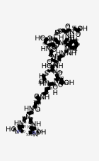 C/C(=N/O)C(C)(C)NCCN(CCNC(=O)CCC(=O)NCCCC[C@H]1N[C@H](O)CSC[C@@H]([C@@H](O)N[C@@H](CCCNC(=N)N)C(=O)NCC(=O)N[C@@H](CC(=O)O)C(=O)N[C@H]2CSSC[C@@H](C(=O)NCC(=O)O)N[C@@H](O)[C@H](Cc3ccccc3)N[C@@H]2O)NC(=O)[C@H](CC(=O)O)N[C@@H]1O)CCNC(C)(C)/C(C)=N\O